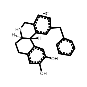 Cl.Oc1cc2c(cc1O)[C@H]1c3cc(Cc4ccccc4)ccc3CN[C@@H]1CC2